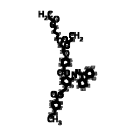 C=CC(=O)OCCCCOCC(COc1ccc(C(=O)Oc2ccc(CCOC(=O)c3ccc(CCC)cc3)cc2/C=N/N=C2c3ccccc3-c3ccccc32)cc1)OC(=O)C=C